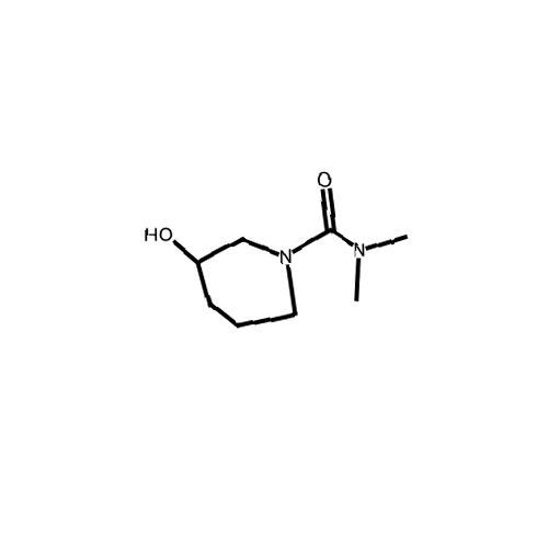 CN(C)C(=O)N1CCCC(O)C1